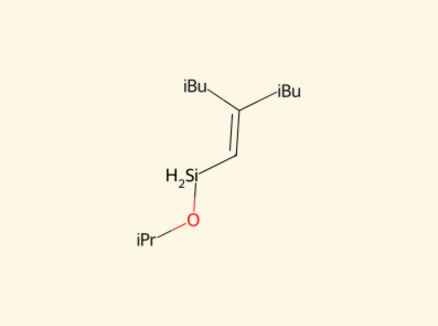 CCC(C)C(=C[SiH2]OC(C)C)C(C)CC